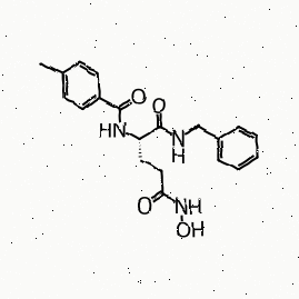 Cc1ccc(C(=O)N[C@@H](CCC(=O)NO)C(=O)NCc2ccccc2)cc1